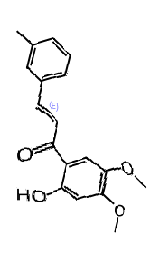 COc1cc(O)c(C(=O)/C=C/c2cccc(C)c2)cc1OC